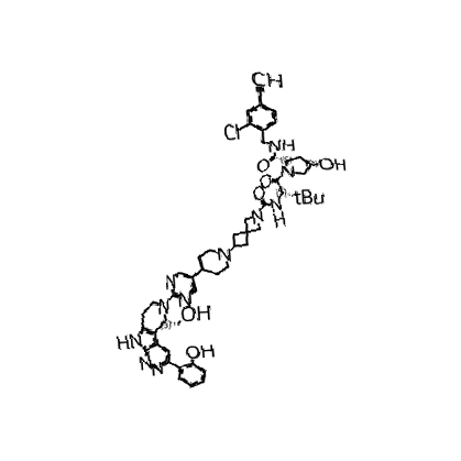 C#Cc1ccc(CNC(=O)[C@@H]2C[C@@H](O)CN2C(=O)[C@@H](NC(=O)N2CC3(CC(N4CCC(c5cnc(N6CCc7[nH]c8nnc(-c9ccccc9O)cc8c7[C@H]6CO)nc5)CC4)C3)C2)C(C)(C)C)c(Cl)c1